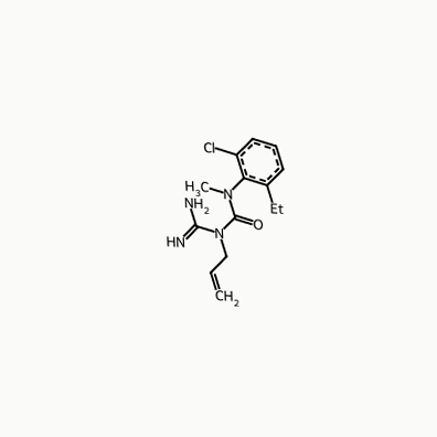 C=CCN(C(=N)N)C(=O)N(C)c1c(Cl)cccc1CC